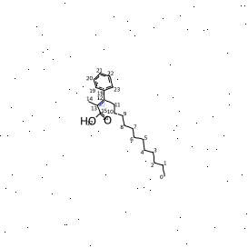 CCCCCCCCCCCC/C(=C(/C)C(=O)O)c1ccccc1